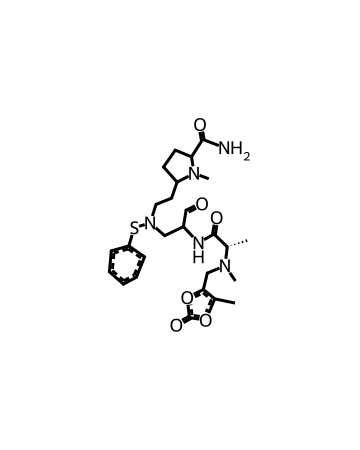 Cc1oc(=O)oc1CN(C)[C@@H](C)C(=O)NC(C=O)CN(CCC1CCC(C(N)=O)N1C)Sc1ccccc1